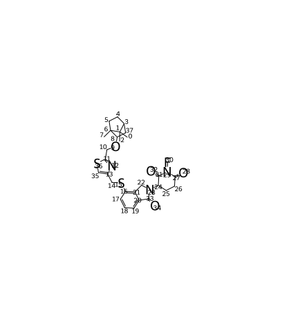 CC1(C)C2CCC1(C)C(OCc1nc(CSc3cccc4c3CN(C3CCC(=O)N(F)C3=O)C4=O)cs1)C2